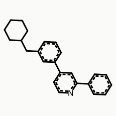 c1ccc(-c2cc(-c3cccc(CC4CCCCC4)c3)ccn2)cc1